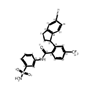 NS(=O)(=O)c1cccc(NC(=O)c2ccc(C(F)(F)F)cc2C2CCc3cc(F)ccc32)c1